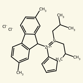 Cc1ccc2c(c1)[CH]([Zr+2]([C]1=CC=CC1)=[Si](CC(C)C)CC(C)C)c1cc(C)ccc1-2.[Cl-].[Cl-]